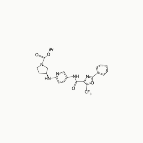 CC(C)OC(=O)N1CC[C@H](Nc2ccc(NC(=O)c3nc(-c4ccccc4)oc3C(F)(F)F)cn2)C1